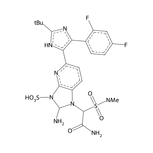 CNS(=O)(=O)C(C(N)=O)N1c2ccc(-c3[nH]c(C(C)(C)C)nc3-c3ccc(F)cc3F)nc2N(S(=O)(=O)O)C1N